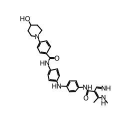 CN/C(C)=C(\C=N)C(=O)Nc1ccc(Nc2ccc(NC(=O)c3ccc(N4CCC(O)CC4)cc3)cc2)cc1